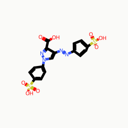 O=C(O)c1nn(-c2ccc(S(=O)(=O)O)cc2)cc1N=Nc1ccc(S(=O)(=O)O)cc1